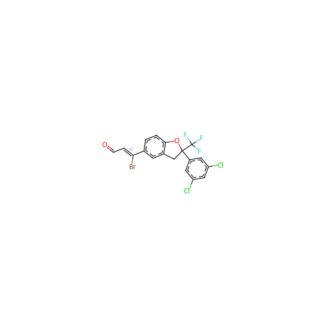 O=C/C=C(\Br)c1ccc2c(c1)CC(c1cc(Cl)cc(Cl)c1)(C(F)(F)F)O2